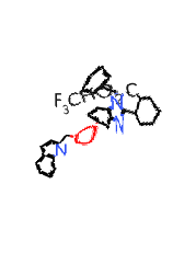 O=C(O)C1CCCCC1c1nc2cc(OCc3ccc4ccccc4n3)ccc2n1Cc1cccc(C(F)(F)F)c1